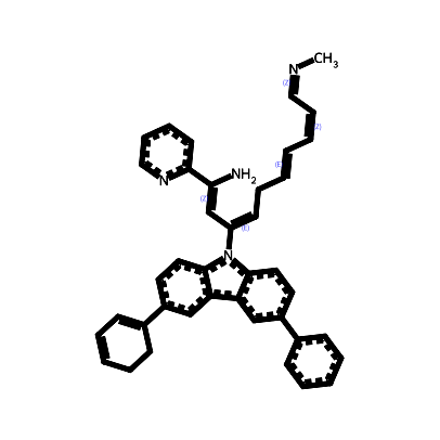 C\N=C/C=C\C=C\C/C=C(\C=C(/N)c1ccccn1)n1c2ccc(C3=CC=CCC3)cc2c2cc(-c3ccccc3)ccc21